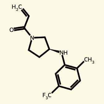 C=CC(=O)N1CC[C@H](Nc2cc(C(F)(F)F)ccc2C)C1